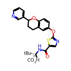 CC(C)(C)[C@H](NC(=O)c1cnc(Oc2ccc3c(c2)CCC(c2cccnc2)O3)s1)C(=O)O